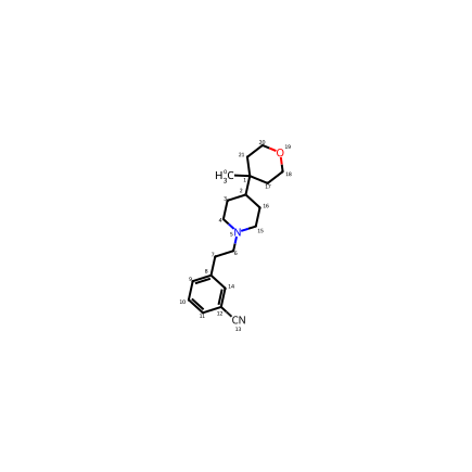 CC1(C2CCN(CCc3cccc(C#N)c3)CC2)CCOCC1